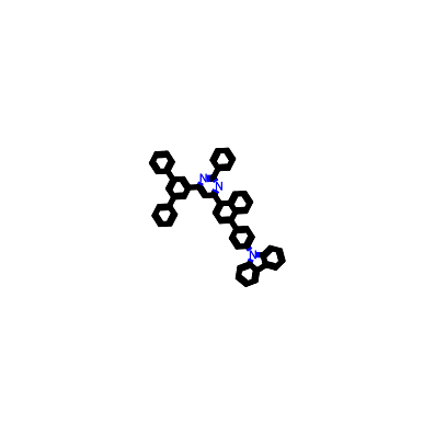 c1ccc(-c2cc(-c3ccccc3)cc(-c3cc(-c4ccc(-c5ccc(-n6c7ccccc7c7ccccc76)cc5)c5ccccc45)nc(-c4ccccc4)n3)c2)cc1